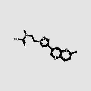 CN(CCn1cc(-c2cnc3ccc(I)nc3c2)cn1)C(=O)O